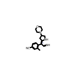 Cc1cc(C#N)ccc1/C(C=N)=C1\CC(N2CCOCC2)CN1